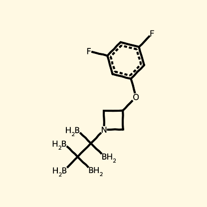 BC(B)(B)C(B)(B)N1CC(Oc2cc(F)cc(F)c2)C1